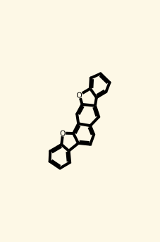 c1ccc2c(c1)oc1cc3c(ccc4c5ccccc5oc34)cc12